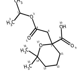 CC(C)OC(=O)CC1(C(=O)O)CCCC(C)(C)O1